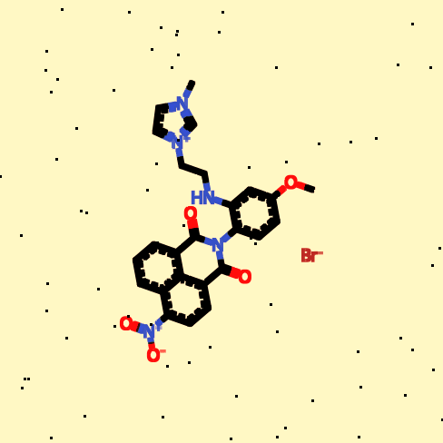 COc1ccc(N2C(=O)c3cccc4c([N+](=O)[O-])ccc(c34)C2=O)c(NCC[n+]2ccn(C)c2)c1.[Br-]